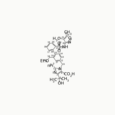 CCCc1nc(C(C)(C)O)c(C(=O)O)n1Cc1ccc(-c2ccccc2S(=O)(=O)Nc2noc(C)c2C)c(COCC)c1